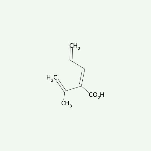 C=C/C=C(\C(=C)C)C(=O)O